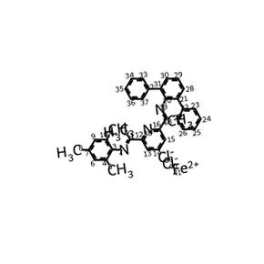 CC(=Nc1c(C)cc(C)cc1C)c1cccc(C(C)=Nc2c(-c3ccccc3)cccc2-c2ccccc2)n1.[Cl-].[Cl-].[Fe+2]